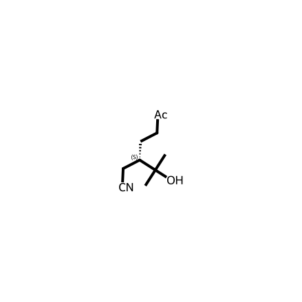 CC(=O)CC[C@@H](CC#N)C(C)(C)O